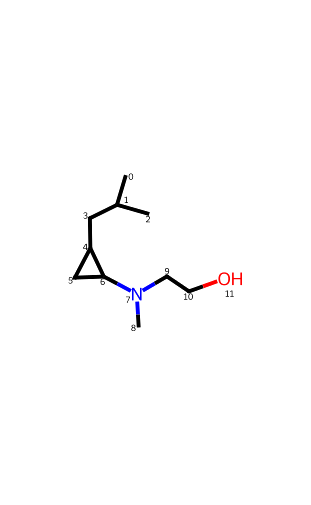 CC(C)CC1CC1N(C)CCO